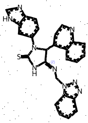 S=C1N/C(=N\Cn2nnc3ccccc32)C(c2ccnc3ccccc23)N1c1ccc2nc[nH]c2c1